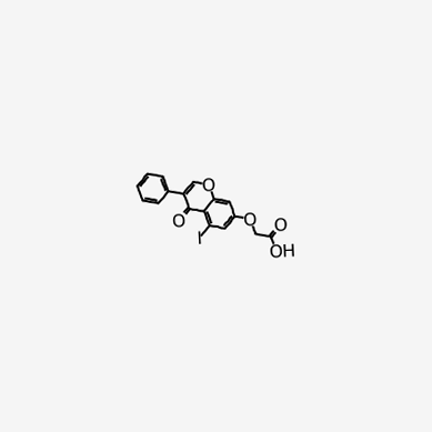 O=C(O)COc1cc(I)c2c(=O)c(-c3ccccc3)coc2c1